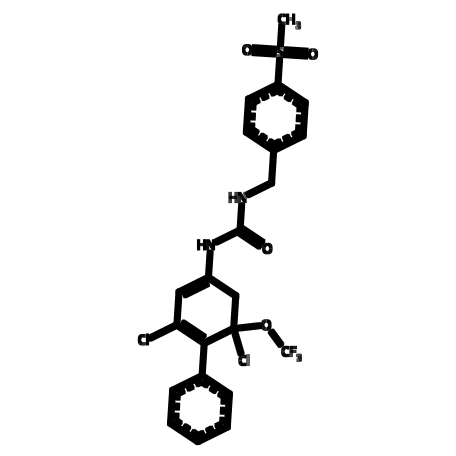 CS(=O)(=O)c1ccc(CNC(=O)NC2=CC(Cl)=C(c3ccccc3)C(Cl)(OC(F)(F)F)C2)cc1